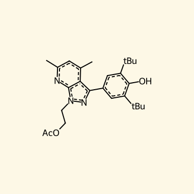 CC(=O)OCCn1nc(-c2cc(C(C)(C)C)c(O)c(C(C)(C)C)c2)c2c(C)cc(C)nc21